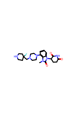 Cn1c(=O)n(C2CCC(=O)NC2=O)c2cccc(N3CCN(CC4(F)CCNCC4)CC3)c21